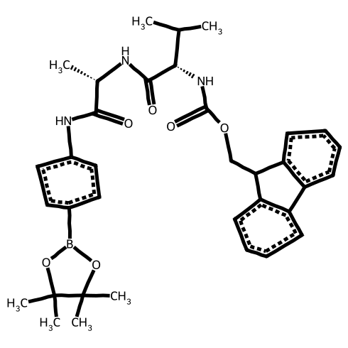 CC(C)[C@H](NC(=O)OCC1c2ccccc2-c2ccccc21)C(=O)N[C@@H](C)C(=O)Nc1ccc(B2OC(C)(C)C(C)(C)O2)cc1